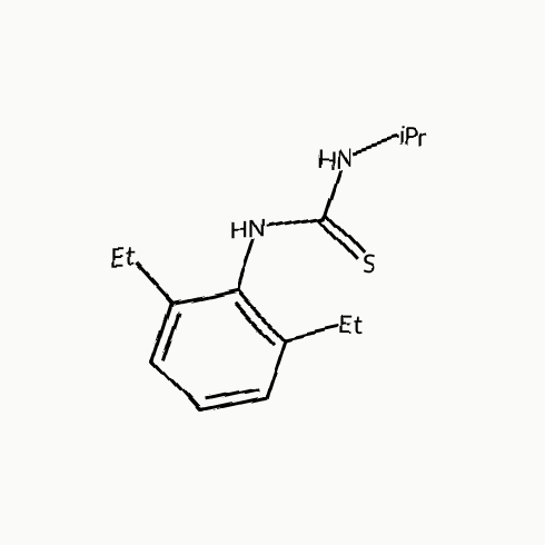 CCc1cccc(CC)c1NC(=S)NC(C)C